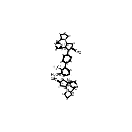 Cc1c(-c2ccc(C3C(=C=O)C[C]4C3c3cnc([nH]3)C3CCCN43)cc2)ccc([C@H]2C(=C=O)C[C]3[C@H]2c2cnc([nH]2)C2CCCN32)c1C